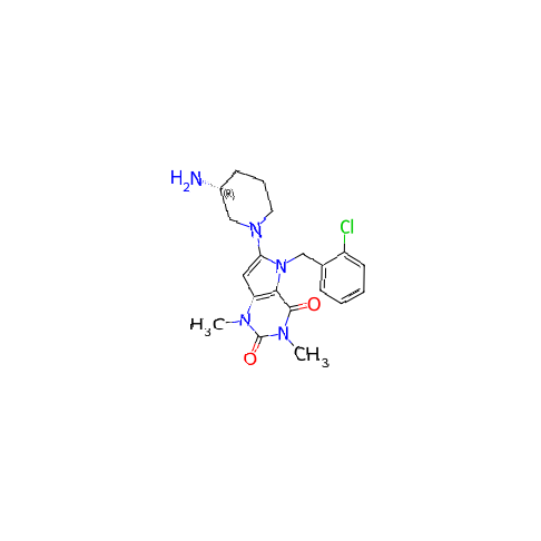 Cn1c(=O)c2c(cc(N3CCC[C@@H](N)C3)n2Cc2ccccc2Cl)n(C)c1=O